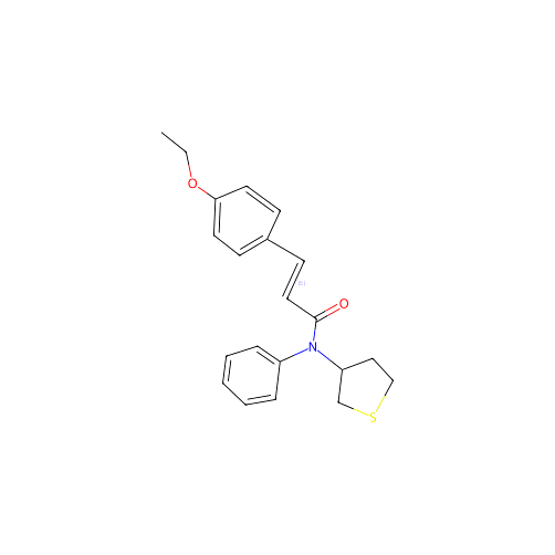 CCOc1ccc(/C=C/C(=O)N(c2ccccc2)C2CCSC2)cc1